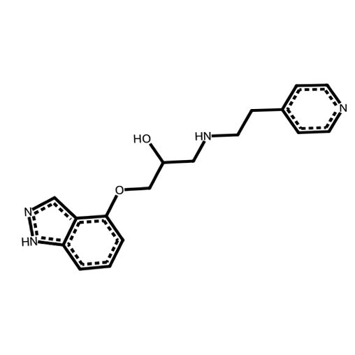 OC(CNCCc1ccncc1)COc1cccc2[nH]ncc12